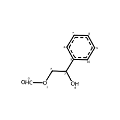 O=COCC(O)c1ccccc1